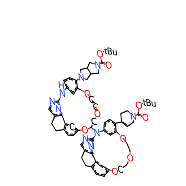 CC(C)(C)OC(=O)N1CC=C(c2ccc3cc2OCCOCCOc2ccc4c(c2)-c2nc(ncc2CC4)N3C2COCCOc3cc(ccc3N3CC4CN(C(=O)OC(C)(C)C)CC4C3)Nc3ncc4c(n3)-c3cc(ccc3CC4)O2)CC1